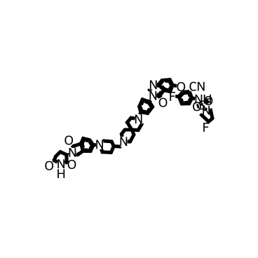 N#Cc1c(NS(=O)(=O)N2CC[C@@H](F)C2)ccc(F)c1Oc1ccc2ncn(-c3ccc(N4CCC5(CCN(CC6CCN(c7ccc8c(c7)CN([C@@H]7CCC(=O)NC7=O)C8=O)CC6)CC5)CC4)cc3)c(=O)c2c1